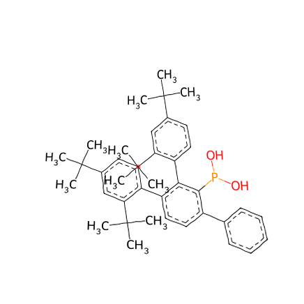 CC(C)(C)c1ccc(-c2ccc(-c3ccccc3)c(P(O)O)c2-c2ccc(C(C)(C)C)cc2C(C)(C)C)c(C(C)(C)C)c1